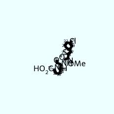 CON=C(C(=O)NC1C(=O)N2C(C(=O)O)=CCS[C@@H]12)c1cc2cc(Cl)ccc2s1